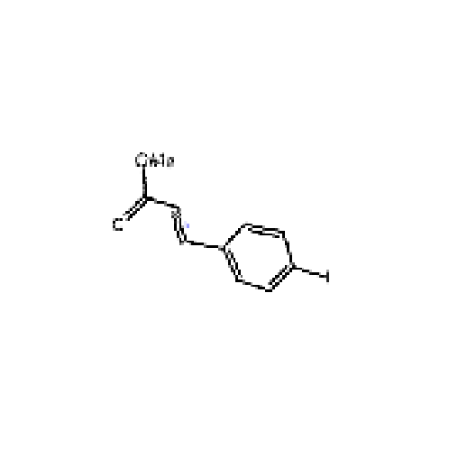 COC(=O)/C=C/c1ccc(I)cc1